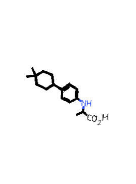 CC(Nc1ccc(C2CCC(C)(C)CC2)cc1)C(=O)O